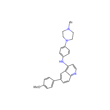 COc1ccc(-c2ccc3nccc(Nc4ccc(N5CCN(C(C)C)CC5)cc4)c3c2)cc1